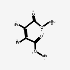 CCCCOC(=O)/C(CC)=C(\C(=O)OCCCC)C(C)C